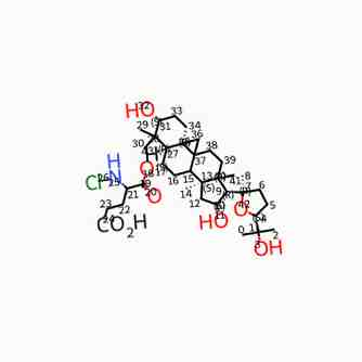 CC(C)(O)[C@@H]1CC[C@](C)([C@H]2[C@@H](O)C[C@@]3(C)C4C[C@H](OC(=O)C(CCC(=O)O)NCl)[C@H]5C(C)(C)[C@@H](O)CC[C@@]56CC46CC[C@]23C)O1